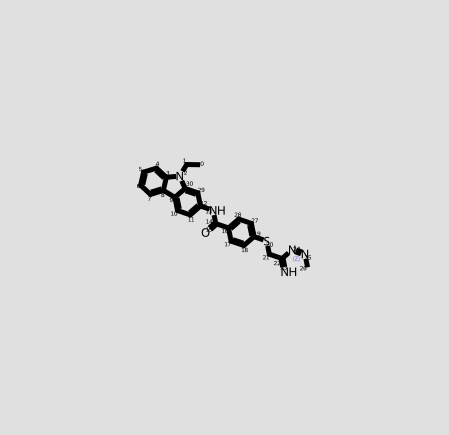 CCn1c2ccccc2c2ccc(NC(=O)c3ccc(SCC(=N)/N=N\C)cc3)cc21